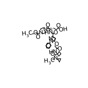 CCOC(=O)N1CCN(C(=O)[C@H](CCC(=O)O)NC(=O)c2cc(OCC(=O)NC3(C(=O)N(C)C4CC4)CCC3)n(-c3ccccc3)n2)CC1